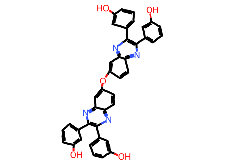 Oc1cccc(-c2nc3ccc(Oc4ccc5nc(-c6cccc(O)c6)c(-c6cccc(O)c6)nc5c4)cc3nc2-c2cccc(O)c2)c1